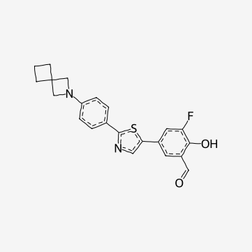 O=Cc1cc(-c2cnc(-c3ccc(N4CC5(CCC5)C4)cc3)s2)cc(F)c1O